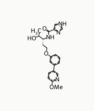 COc1ccc(-c2cccc(OCC[C@@H](NC(=O)c3c[nH]cn3)[C@H](C)O)c2)cn1